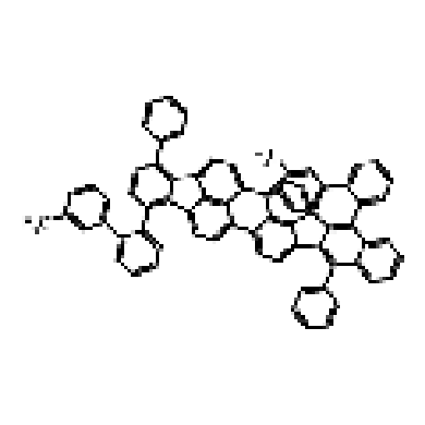 FC(F)(F)c1cccc(-c2ccccc2-c2ccc(-c3ccccc3)c3c2-c2ccc4c5ccc6c7c(ccc(c8ccc-3c2c48)c75)-c2c-6c(-c3ccccc3)c3ccccc3c2-c2ccccc2-c2cccc(C(F)(F)F)c2)c1